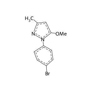 COc1cc(C)nn1-c1ccc(Br)cc1